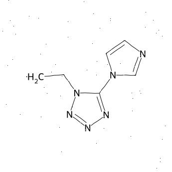 [CH2]Cn1nnnc1-n1ccnc1